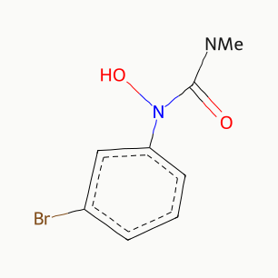 CNC(=O)N(O)c1cccc(Br)c1